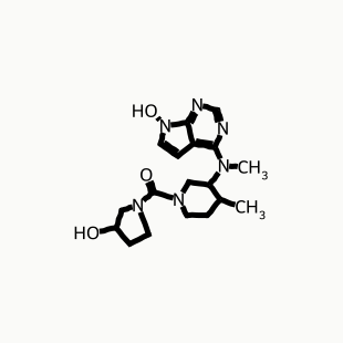 CC1CCN(C(=O)N2CCC(O)C2)CC1N(C)c1ncnc2c1ccn2O